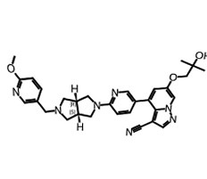 COc1ccc(CN2C[C@@H]3CN(c4ccc(-c5cc(OCC(C)(C)O)cn6ncc(C#N)c56)cn4)C[C@@H]3C2)cn1